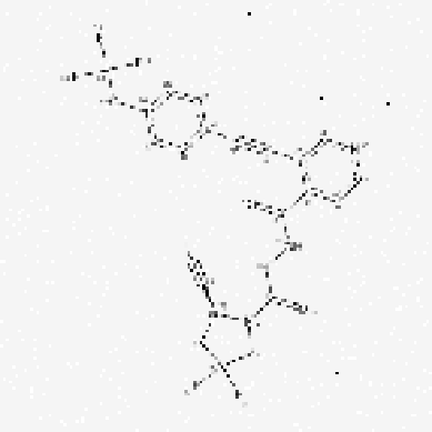 N#C[C@@H]1CC(F)(F)CN1C(=O)CNC(=O)c1ccncc1C#Cc1ccc(OC(F)(F)F)cc1